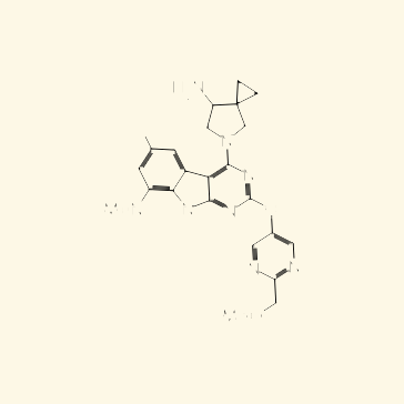 CNc1cc(F)cc2c1[nH]c1nc(Oc3cnc(COC)nc3)nc(N3CC(N)C4(CC4)C3)c12